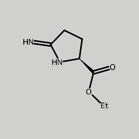 CCOC(=O)[C@@H]1CCC(=N)N1